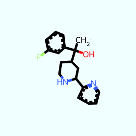 [CH2]C(O)(c1cccc(F)c1)C1CCNC(c2ccccn2)C1